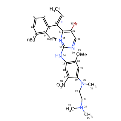 C/C=C(\c1cccc(CCCC)c1CCC)c1nc(Nc2cc([N+](=O)[O-])c(N(C)CCN(C)C)cc2OC)ncc1Br